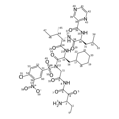 CCC(N)C(=O)C(=O)NC(=O)CN(C(=O)[C@H](CC1CCCCC1)NC(=O)[C@@H](NC(=O)[C@H](CC(C)C)NC(=O)c1cnccn1)[C@@H](C)CC)S(=O)(=O)c1ccc(Cl)c([N+](=O)[O-])c1